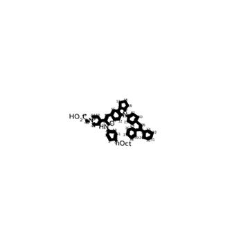 CCCCCCCCc1ccc(NC(=O)/C(=C\c2ccc3c(c2)C2CCCC2N3c2ccc(C=C(c3ccccc3)c3ccccc3)cc2)c2cc[n+](CC(=O)O)cc2)cc1